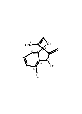 CCN1C(=O)[C@@]2(OC=C2C=O)c2cccc(Cl)c21